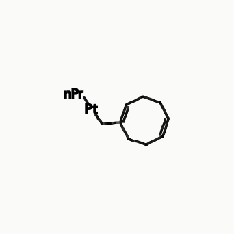 CC[CH2][Pt][CH2]C1=CCCC=CCC1